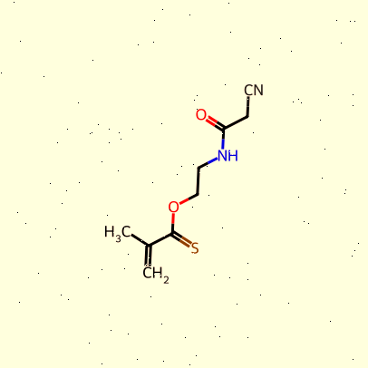 C=C(C)C(=S)OCCNC(=O)CC#N